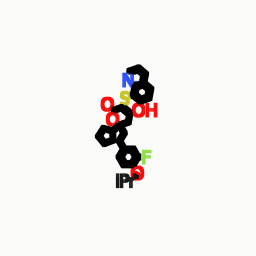 CC(C)Oc1ccc(CCC2(C3CCCC3)CC(O)=C(Sc3cccc4cccnc34)C(=O)O2)cc1F